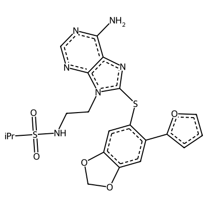 CC(C)S(=O)(=O)NCCn1c(Sc2cc3c(cc2-c2ccco2)OCO3)nc2c(N)ncnc21